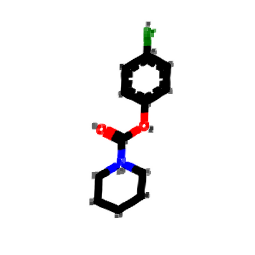 O=C(Oc1ccc(Br)cc1)N1CCCCC1